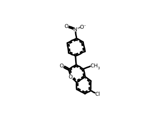 Cc1c(-c2ccc([N+](=O)[O-])cc2)c(=O)oc2ccc(Cl)cc12